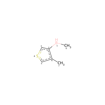 CBc1cscc1C